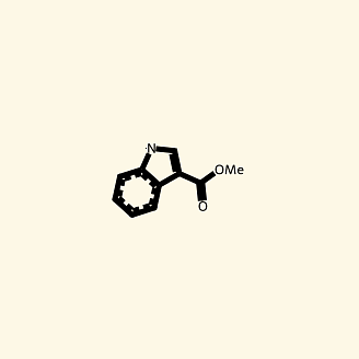 COC(=O)C1=C[N]c2ccccc21